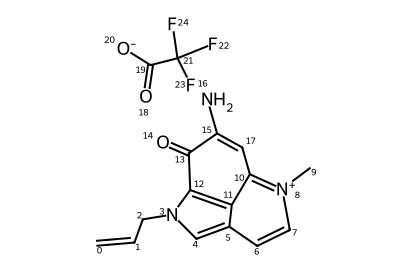 C=CCn1cc2cc[n+](C)c3c2c1C(=O)C(N)=C3.O=C([O-])C(F)(F)F